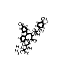 CCC(C)(C)NC(=O)CN1C(=O)C(NC(=O)Nc2ccc(C)cc2)CC(c2ccc(Cl)cc2)c2ccccc21